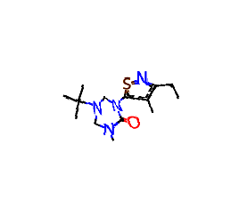 CCc1nsc(N2CN(C(C)(C)C)CN(C)C2=O)c1C